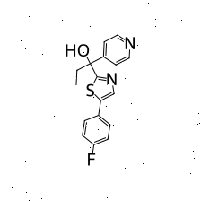 CCC(O)(c1ccncc1)c1ncc(-c2ccc(F)cc2)s1